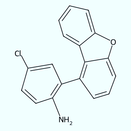 Nc1ccc(Cl)cc1-c1cccc2oc3ccccc3c12